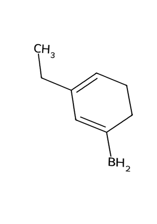 BC1=CC(CC)=CCC1